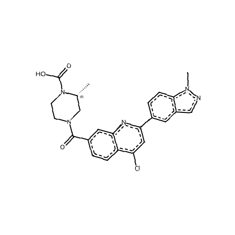 C[C@@H]1CN(C(=O)c2ccc3c(Cl)cc(-c4ccc5c(cnn5C)c4)nc3c2)CCN1C(=O)O